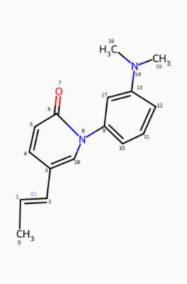 C/C=C/c1ccc(=O)n(-c2cccc(N(C)C)c2)c1